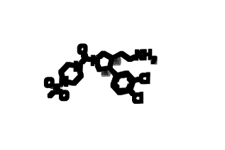 CS(=O)(=O)N1CCN(C(=O)N2C[C@@H](CCN)[C@@H](c3ccc(Cl)c(Cl)c3)C2)CC1